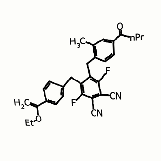 C=C(OCC)c1ccc(Cc2c(F)c(C#N)c(C#N)c(F)c2Cc2ccc(C(=O)CCC)cc2C)cc1